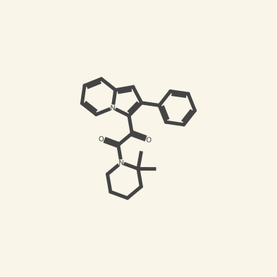 CC1(C)CCCCN1C(=O)C(=O)c1c(-c2ccccc2)cc2ccccn12